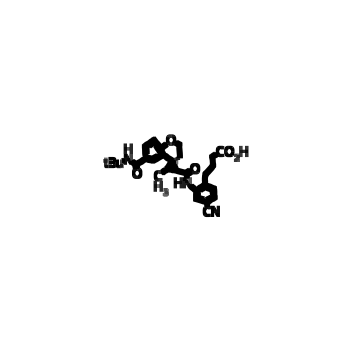 CC1C(C(=O)Nc2cc(C#N)ccc2CCCC(=O)O)[C@@]12CCOc1ccc(C(=O)NC(C)(C)C)cc12